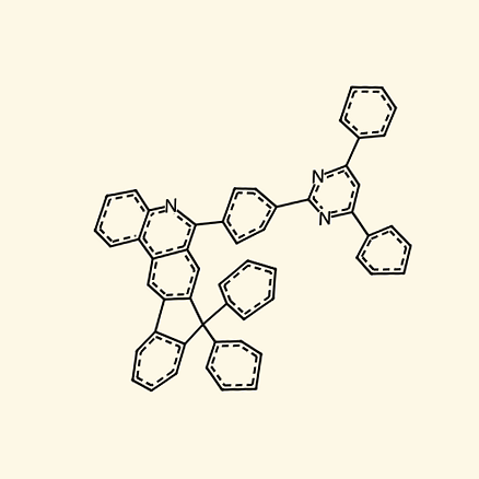 c1ccc(-c2cc(-c3ccccc3)nc(-c3ccc(-c4nc5ccccc5c5cc6c(cc45)C(c4ccccc4)(c4ccccc4)c4ccccc4-6)cc3)n2)cc1